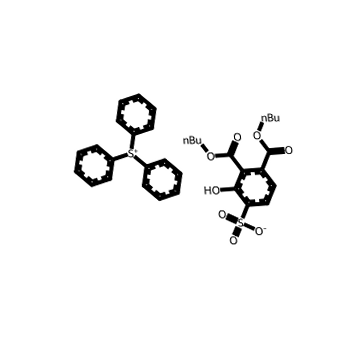 CCCCOC(=O)c1ccc(S(=O)(=O)[O-])c(O)c1C(=O)OCCCC.c1ccc([S+](c2ccccc2)c2ccccc2)cc1